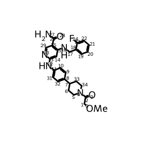 COCC(=O)N1CCC(c2ccc(Nc3cc(NCc4ccccc4F)c(C(N)=O)cn3)cc2)CC1